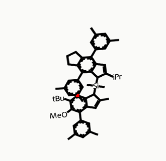 COc1c(C(C)(C)C)cc2c(c1-c1cc(C)cc(C)c1)C=C(C)C2[Si](C)(C)C1C(C(C)C)=Cc2c(-c3cc(C)cc(C)c3)c3c(c(-c4cc(C)cc(C)c4)c21)CCC3